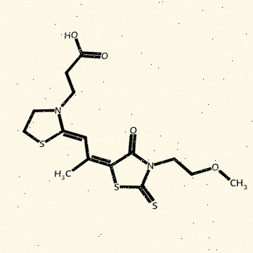 COCCN1C(=O)C(=C(C)C=C2SCCN2CCC(=O)O)SC1=S